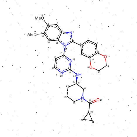 COc1cc2nc(-c3ccc4c(c3)OCCO4)n(-c3ccnc(N[C@@H]4CCCN(C(=O)C5CC5)C4)n3)c2cc1OC